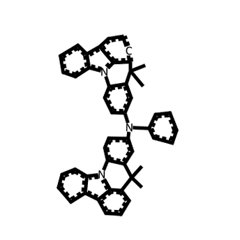 CC1(C)c2cc(N(c3ccccc3)c3ccc4c(c3)C(C)(C)c3cccc5c6ccccc6n-4c35)ccc2-n2c3ccccc3c3cccc1c32